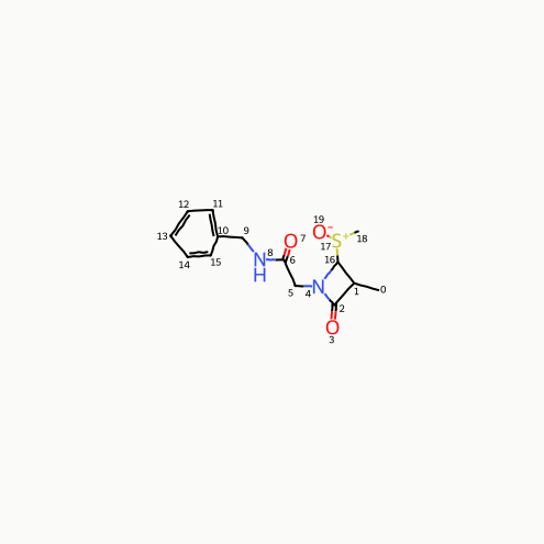 CC1C(=O)N(CC(=O)NCc2ccccc2)C1[S+](C)[O-]